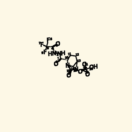 O=C(NNC(=O)C(F)(F)F)[C@@H]1CCC2CN1C(=O)N2OS(=O)(=O)O